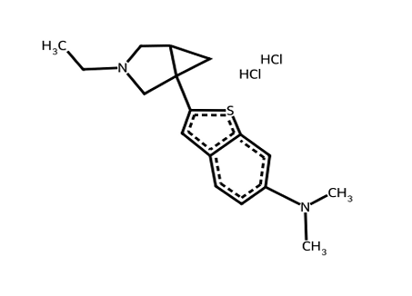 CCN1CC2CC2(c2cc3ccc(N(C)C)cc3s2)C1.Cl.Cl